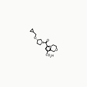 O=C(O)c1cc(C(=O)N2CC[C@H](OCC3CC3)C2)n2c1COCC2